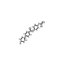 CCNCc1ccc(OC(=O)c2ccc(-c3ccc(C)cc3)cc2)cc1